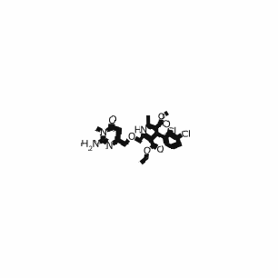 CCOC(=O)C1=C(COCc2cc(=O)n(C)c(N)n2)NC(C)=C(C(=O)OC)C1c1cccc(Cl)c1Cl